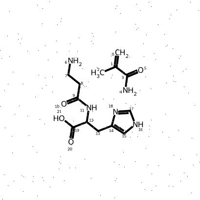 C=C(C)C(N)=O.NCCC(=O)NC(Cc1c[nH]cn1)C(=O)O